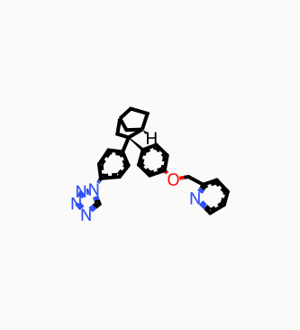 c1ccc(COc2ccc([C@@]3(c4ccc(-n5cnnn5)cc4)CC4CC[C@@H]3C4)cc2)nc1